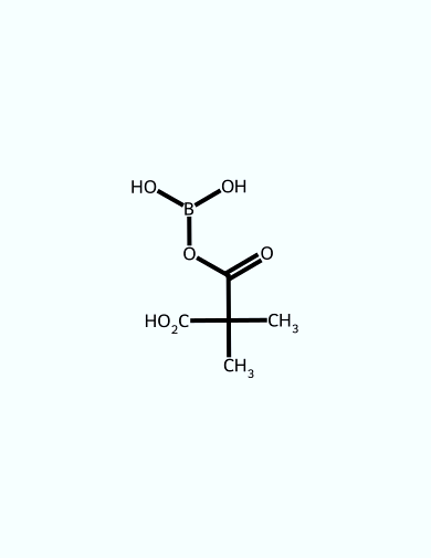 CC(C)(C(=O)O)C(=O)OB(O)O